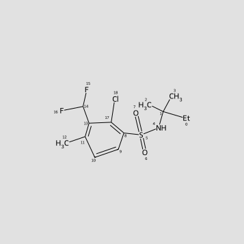 CCC(C)(C)NS(=O)(=O)c1ccc(C)c(C(F)F)c1Cl